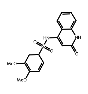 COC1=C(OC)CC(S(=O)(=O)Nc2cc(=O)[nH]c3ccccc23)C=C1